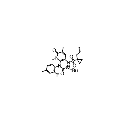 C=CCC1(S(=O)(=O)Nc2cc(C)c(=O)n(C)c2N(C(=O)OC(C)(C)C)c2ccc(C)cc2F)CC1